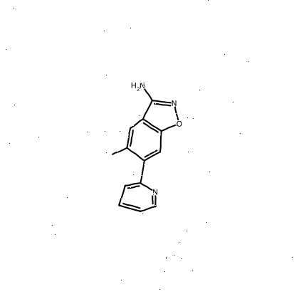 Cc1cc2c(N)noc2cc1-c1ccccn1